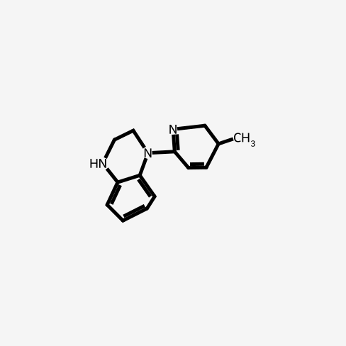 CC1C=CC(N2CCNc3ccccc32)=NC1